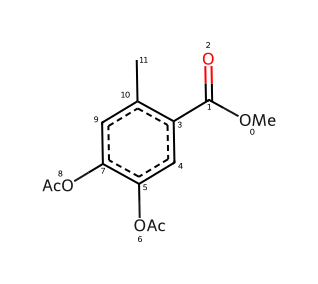 COC(=O)c1cc(OC(C)=O)c(OC(C)=O)cc1C